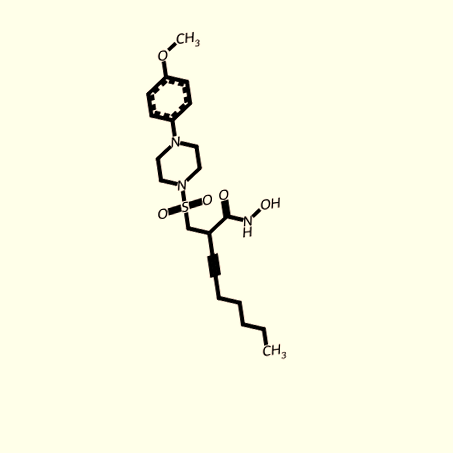 CCCCCC#CC(CS(=O)(=O)N1CCN(c2ccc(OC)cc2)CC1)C(=O)NO